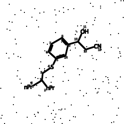 CCCC(CCC)CSc1cccc(C(O)CC#N)c1